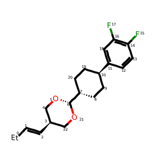 CCC=C[C@H]1CO[C@H]([C@H]2CC[C@H](c3ccc(F)c(F)c3)CC2)OC1